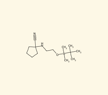 CC(C)(C)[Si](C)(C)OCCNC1(C#N)CCCC1